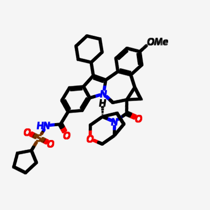 COc1ccc2c(c1)C1CC1(C(=O)N1C3CC[C@@H]1COC3)Cn1c-2c(C2CCCCC2)c2ccc(C(=O)NS(=O)(=O)C3CCCC3)cc21